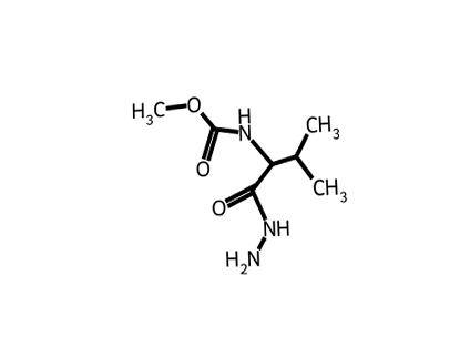 COC(=O)NC(C(=O)NN)C(C)C